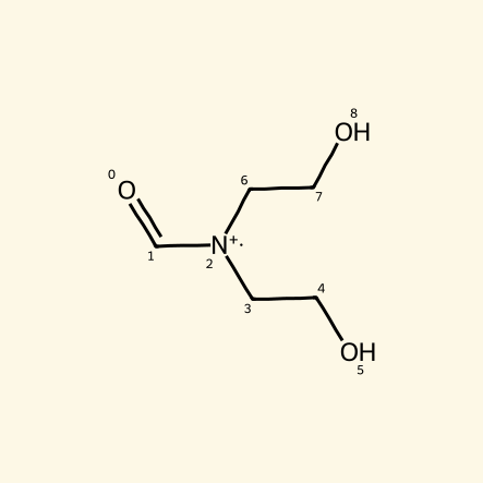 O=C[N+](CCO)CCO